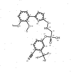 COc1cccc(-c2ccc(SNCP(=O)(O)Oc3ccc(C#N)c(C(F)(F)F)c3)s2)c1OC